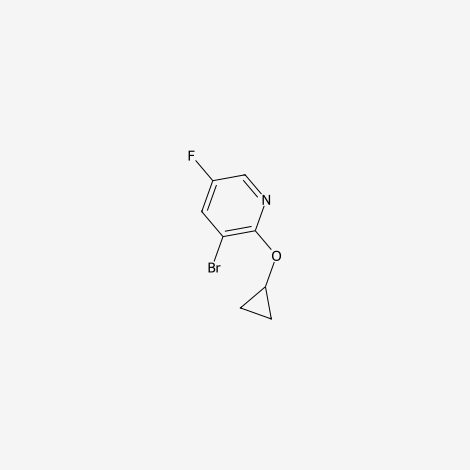 Fc1cnc(OC2CC2)c(Br)c1